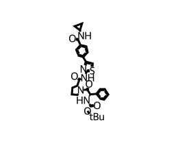 CC(C)(C)OC(=O)N[C@@H](C(=O)N1CCCC1C(=O)Nc1nc(-c2ccc(C(=O)NC3CC3)cc2)cs1)c1ccccc1